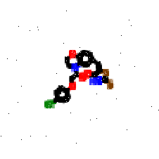 O=C1NC(=S)SC1=Cc1ccc2c(c1)N(C(=O)COc1ccc(Cl)cc1)CCO2